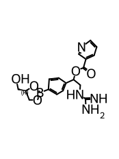 N=C(N)NCC(OC(=O)c1cccnc1)c1ccc(B2OC[C@@H](CO)O2)cc1